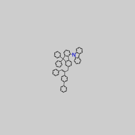 C(=C(\Cc1ccc2c(c1)C(c1ccccc1)(c1ccccc1)c1cccc(-n3c4ccccc4c4ccccc43)c1-2)c1ccc(-c2ccccc2)cc1)/c1ccccc1